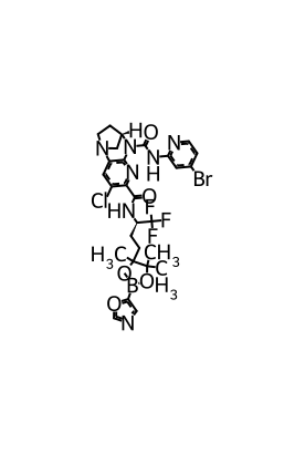 CC1(C)OB(c2cnco2)OC1(C)CC[C@@H](NC(=O)c1nc2c(cc1Cl)N1CC[C@@H](C1)N2C(=O)Nc1cc(Br)ccn1)C(F)(F)F